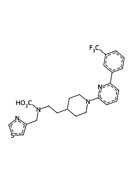 O=C(O)N(CCC1CCN(c2cccc(-c3cccc(C(F)(F)F)c3)n2)CC1)Cc1cscn1